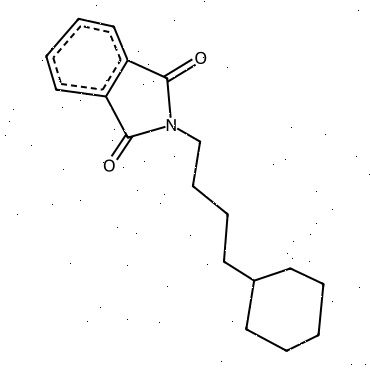 O=C1c2ccccc2C(=O)N1CCCCC1CCCCC1